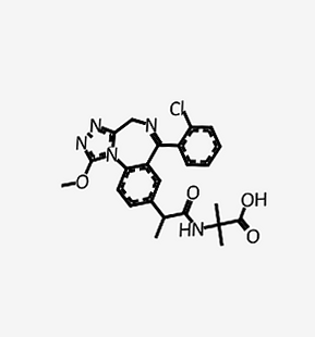 COc1nnc2n1-c1ccc(C(C)C(=O)NC(C)(C)C(=O)O)cc1C(c1ccccc1Cl)=NC2